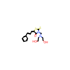 O=C1/C(=C\C=C\c2ccccc2)SC(=S)N1CN(CCO)CCO